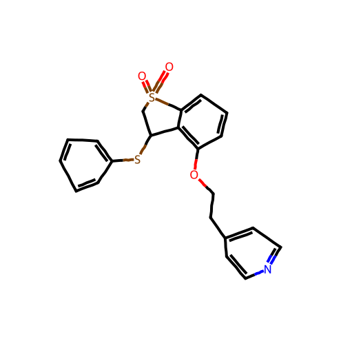 O=S1(=O)CC(Sc2ccccc2)c2c(OCCc3ccncc3)cccc21